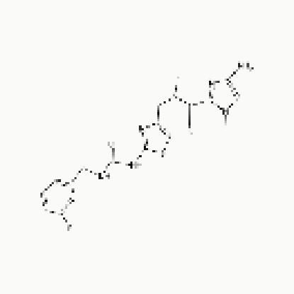 CN(Cc1csc(NC(=O)NCc2cccc(F)c2)n1)C(=O)c1nc(N)cn1C